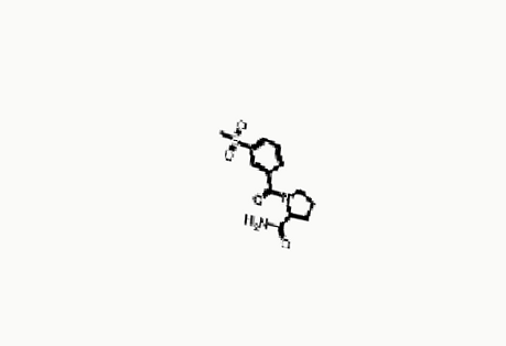 CS(=O)(=O)c1cccc(C(=O)N2CCCC2C(N)=O)c1